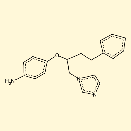 Nc1ccc(OC(CCc2ccccc2)Cn2ccnc2)cc1